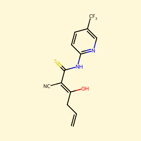 C=CCC(O)=C(C#N)C(=S)Nc1ccc(C(F)(F)F)cn1